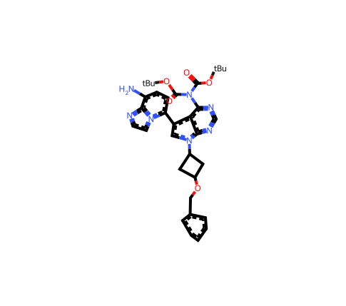 CC(C)(C)OC(=O)N(C(=O)OC(C)(C)C)c1ncnc2c1c(-c1ccc(N)c3nccn13)cn2C1CC(OCc2ccccc2)C1